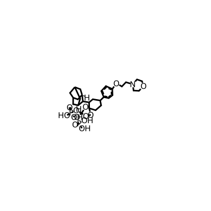 O=P(O)(O)OC1(OP(=O)(O)O)OOC2(CCC(c3ccc(OCCN4CCOCC4)cc3)CC2C2[C@H]3CC4CC(C3)C[C@@H]2C4)O1